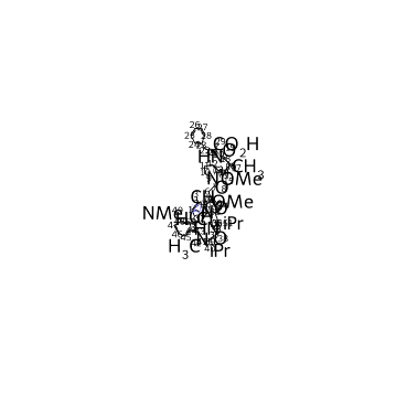 C/C=C(/C)[C@@H]([C@@H](CC(=O)N1CCC[C@H]1[C@H](OC)[C@@H](C)C(=O)N[C@@H](Cc1ccccc1)C(=O)O)OC)N(C)C(=O)[C@@H](NC(=O)[C@H](C(C)C)N(C)Cc1cccc(NC)c1)C(C)C